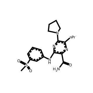 CCCc1nc(C(N)=O)c(Nc2cccc(S(C)(=O)=O)c2)nc1N1CCCC1